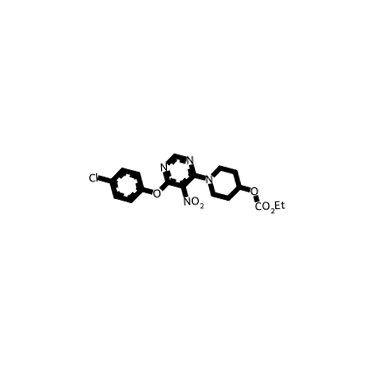 CCOC(=O)OC1CCN(c2ncnc(Oc3ccc(Cl)cc3)c2[N+](=O)[O-])CC1